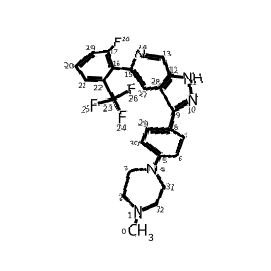 CN1CCN(c2ccc(-c3n[nH]c4cnc(-c5c(F)cccc5C(F)(F)F)cc34)cc2)CC1